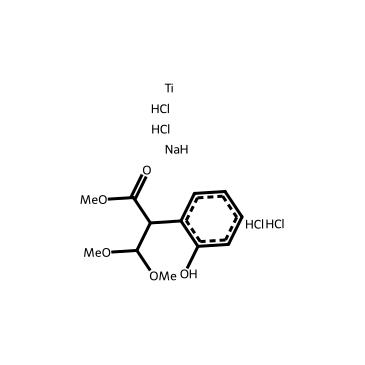 COC(=O)C(c1ccccc1O)C(OC)OC.Cl.Cl.Cl.Cl.[NaH].[Ti]